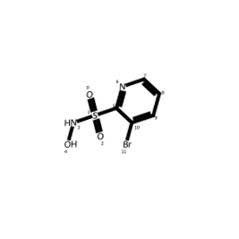 O=S(=O)(NO)c1ncccc1Br